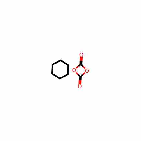 C1CCCCC1.O=C1OC(=O)O1